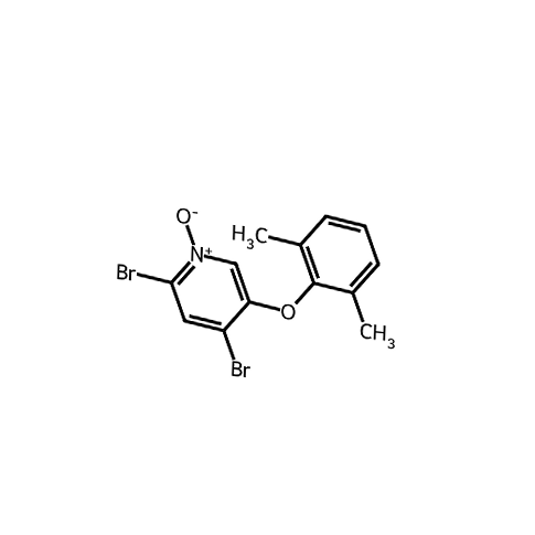 Cc1cccc(C)c1Oc1c[n+]([O-])c(Br)cc1Br